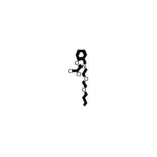 CCCCOCCOCCN(Cc1ccccc1)C(=O)C(Cl)Cl